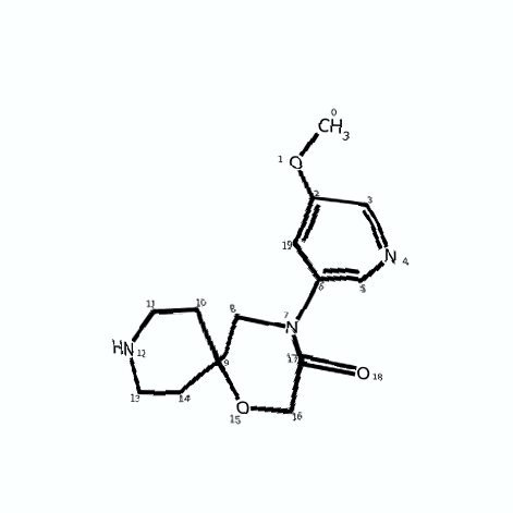 COc1cncc(N2CC3(CCNCC3)OCC2=O)c1